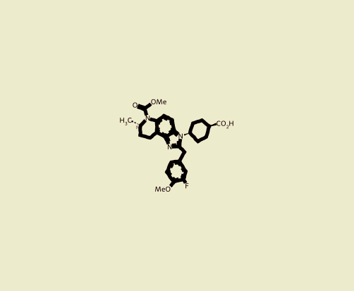 COC(=O)N1c2ccc3c(nc(Cc4ccc(OC)c(F)c4)n3[C@H]3CC[C@H](C(=O)O)CC3)c2CC[C@@H]1C